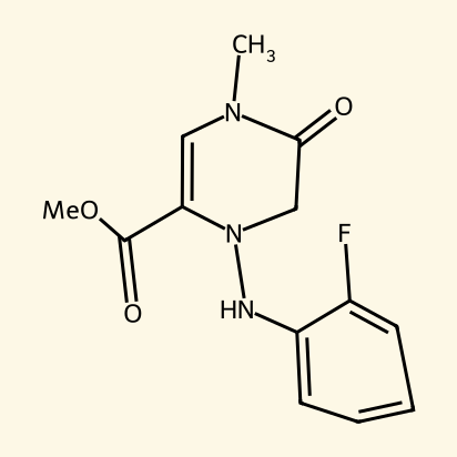 COC(=O)C1=CN(C)C(=O)CN1Nc1ccccc1F